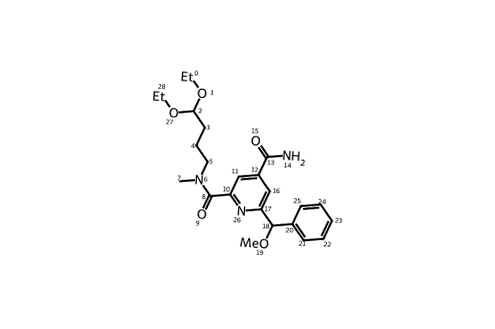 CCOC(CCCN(C)C(=O)c1cc(C(N)=O)cc(C(OC)c2ccccc2)n1)OCC